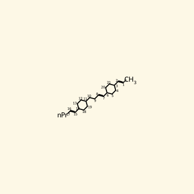 CC=CC1CCC(C=CCCC2CCC(C=CCCC)CC2)CC1